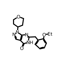 CCOc1ccccc1Cc1nc2c(cnn2C2CCOCC2)c(=O)[nH]1